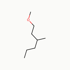 CCC[C](C)CCOC